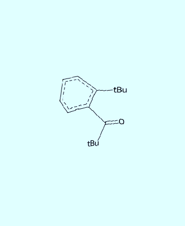 CC(C)(C)C(=O)c1ccccc1C(C)(C)C